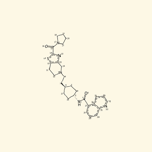 O=C(N[C@H]1CC[C@H](CCN2CCc3sc(C(=O)N4CCCC4)nc3C2)CC1)c1cccc2ncccc12